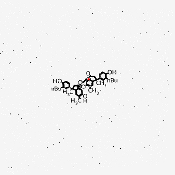 CCCCc1cc(C(C)(CC(=O)OCCOC(=O)CC(C)(c2ccc(O)c(C)c2)c2ccc(O)c(CCCC)c2)c2ccc(O)c(C)c2)ccc1O